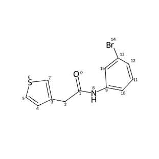 O=C(Cc1ccsc1)Nc1cccc(Br)c1